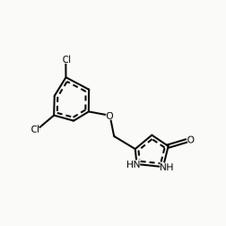 O=c1cc(COc2cc(Cl)cc(Cl)c2)[nH][nH]1